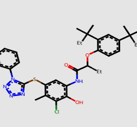 CCC(Oc1ccc(C(C)(C)CC)cc1C(C)(C)CC)C(=O)Nc1cc(Sc2nnnn2-c2ccccc2)c(C)c(Cl)c1O